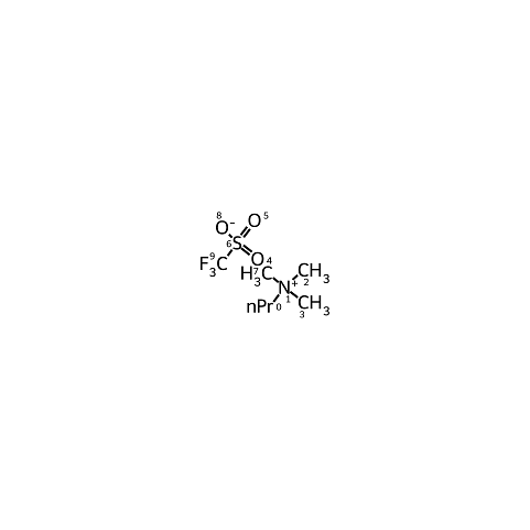 CCC[N+](C)(C)C.O=S(=O)([O-])C(F)(F)F